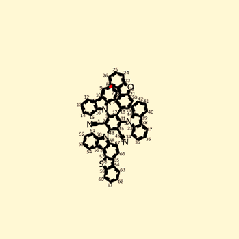 N#Cc1c(-n2c3ccccc3c3ccccc32)c(-c2ccc3oc4ccccc4c3c2)c(-n2c3ccccc3c3ccccc32)c(C#N)c1-n1c2ccccc2c2c3sc4ccccc4c3ccc21